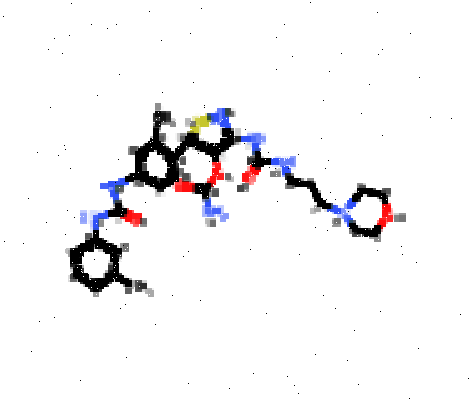 Cc1cccc(NC(=O)Nc2ccc(-c3snc(NC(=O)NCCCN4CCOCC4)c3OC(N)=O)c(C)c2)c1